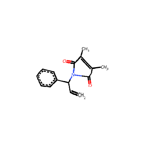 C=CC(c1ccccc1)N1C(=O)C(C)=C(C)C1=O